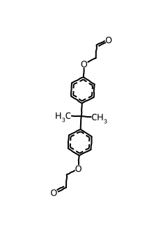 CC(C)(c1ccc(OCC=O)cc1)c1ccc(OCC=O)cc1